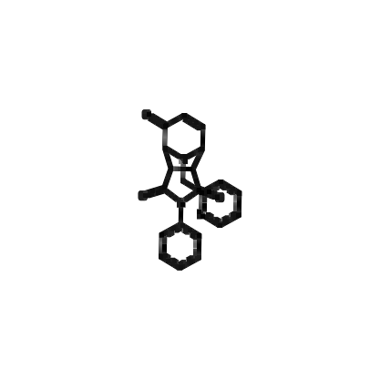 O=C1C=CC2C3C(=O)N(c4ccccc4)C(=O)C3C1N2Cc1ccccn1